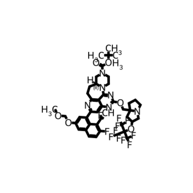 C#Cc1c(F)ccc2cc(OCOC)cc(-c3nc4c5c(nc(OCC67CCCN6CC(OC(C(F)(F)F)(C(F)(F)F)C(F)(F)F)C7)nc5c3F)N3CCN(C(=O)OC(C)(C)C)C[C@H]3CC4)c12